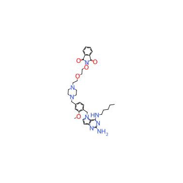 CCCCCNc1nc(N)nc2ccn(Cc3ccc(CN4CCN(CCOCCON5C(=O)c6ccccc6C5=O)CC4)cc3OC)c12